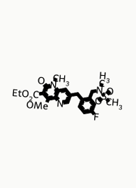 CCOC(=O)c1c(OC)c2ncc(Cc3ccc(F)cc3CN(C)S(C)(=O)=O)cc2n(C)c1=O